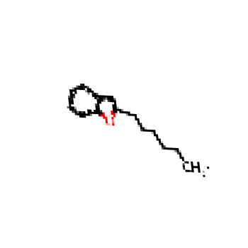 [CH2]CCCCCc1cc2ccccc2o1